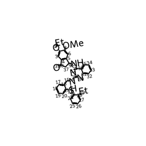 CCOc1cc2c(cc1OC)C(Nc1nc(NCc3ccccc3Sc3ccccc3CC)nc3ccccc13)CC2=O